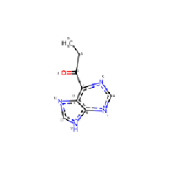 CCC(=O)c1ncnc2[nH]cnc12